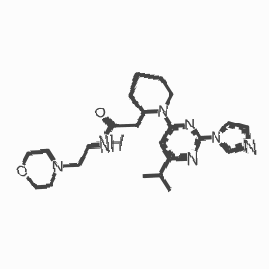 CC(C)c1cc(N2CCCCC2CC(=O)NCCN2CCOCC2)nc(-n2ccnc2)n1